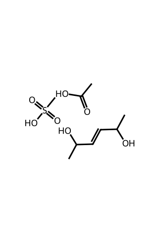 CC(=O)O.CC(O)C=CC(C)O.CS(=O)(=O)O